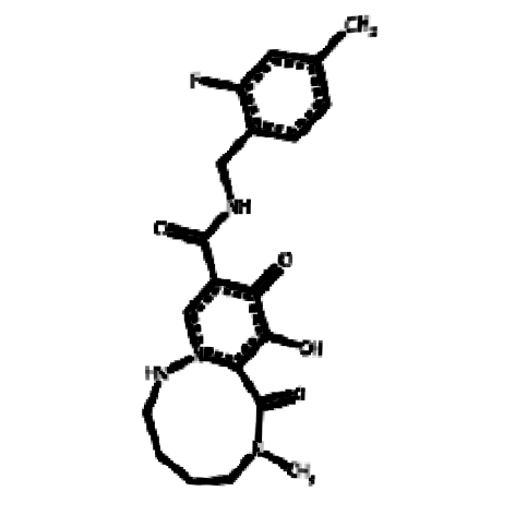 Cc1ccc(CNC(=O)c2cn3c(c(O)c2=O)C(=O)N(C)CCCCN3)c(F)c1